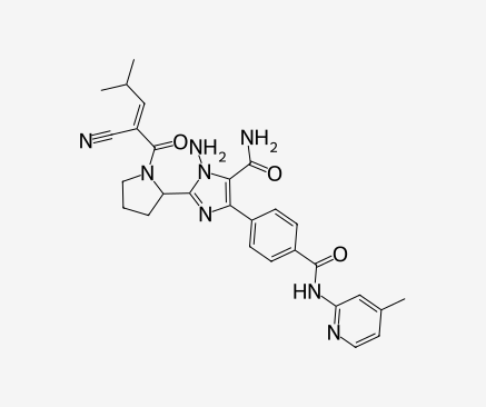 Cc1ccnc(NC(=O)c2ccc(-c3nc(C4CCCN4C(=O)C(C#N)=CC(C)C)n(N)c3C(N)=O)cc2)c1